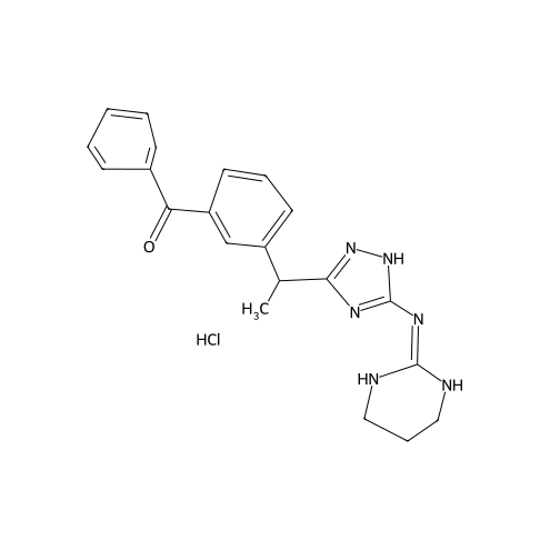 CC(c1cccc(C(=O)c2ccccc2)c1)c1n[nH]c(N=C2NCCCN2)n1.Cl